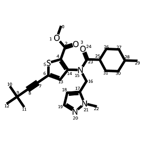 COC(=O)c1sc(C#CC(C)(C)C)cc1N(Cc1ccnn1C)C(=O)C1CCC(C)CC1